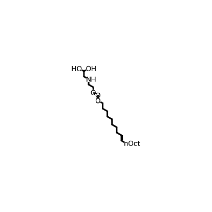 CCCCCCCCC=CCCCCCCCCOOOCCNCC(O)O